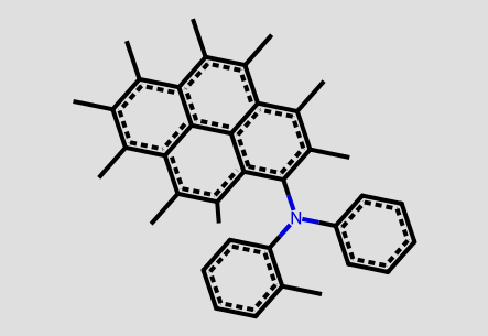 Cc1ccccc1N(c1ccccc1)c1c(C)c(C)c2c(C)c(C)c3c(C)c(C)c(C)c4c(C)c(C)c1c2c34